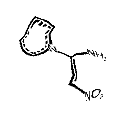 NC(=C[N+](=O)[O-])n1cccc1